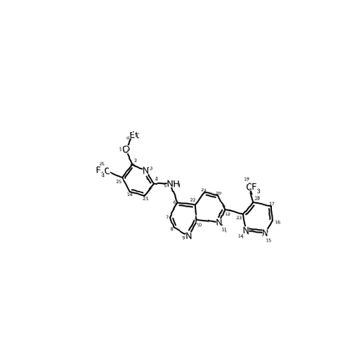 CCOc1nc(Nc2ccnc3nc(-c4nnccc4C(F)(F)F)ccc23)ccc1C(F)(F)F